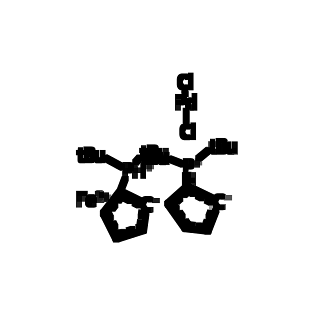 CC(C)(C)[PH+](c1ccc[cH-]1)C(C)(C)C.CC(C)(C)[PH+](c1ccc[cH-]1)C(C)(C)C.[Cl][Pd][Cl].[Fe+2]